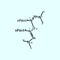 CCCCC[N+](=NN(C)C)O[N+](CCCCC)=NN(C)C